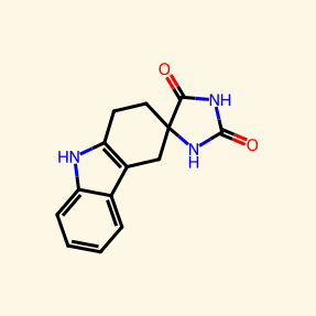 O=C1NC(=O)C2(CCc3[nH]c4ccccc4c3C2)N1